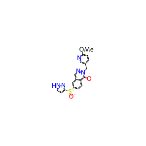 COc1ccc(Cn2ncc3cc([S+]([O-])c4cc[nH]n4)ccc3c2=O)cn1